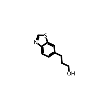 OCCCc1ccc2ncsc2c1